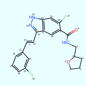 O=C(NCC1CCCO1)c1cc2c(/C=C/c3cccc(F)c3)n[nH]c2cc1F